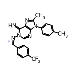 Cc1ccc(-n2c(C)nc3c(=N)n(/N=C\c4ccc(C(F)(F)F)cc4)cnc32)cc1